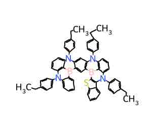 CCc1ccc(N2c3ccccc3B3c4cc5c(cc4N(c4ccc(CC)cc4)c4cccc2c43)N(c2ccc(CC)cc2)c2cccc3c2B5c2sc4ccccc4c2N3c2ccc(CC)cc2)cc1